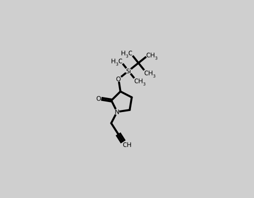 C#CCN1CCC(O[Si](C)(C)C(C)(C)C)C1=O